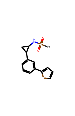 CC(C)S(=O)(=O)NC1CC1c1cccc(-c2cccs2)c1